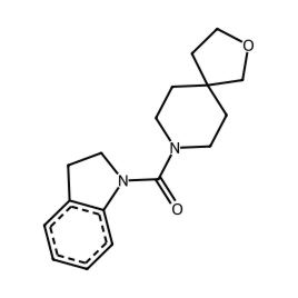 O=C(N1CCC2(CCOC2)CC1)N1CCc2ccccc21